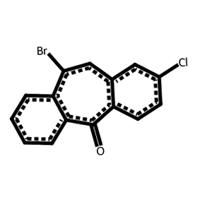 O=c1c2ccc(Cl)cc2cc(Br)c2ccccc12